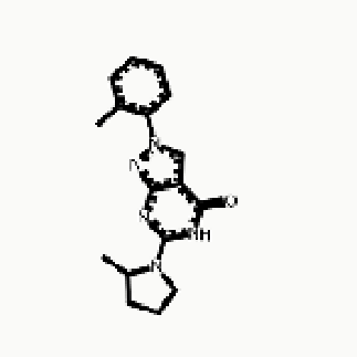 Cc1ccccc1-n1cc2c(=O)[nH]c(N3CCCC3C)nc2n1